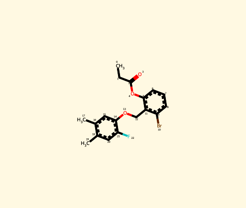 CCC(=O)Oc1cccc(Br)c1COc1cc(C)c(C)cc1F